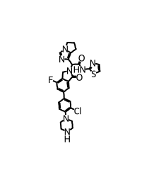 O=C(Nc1nccs1)C(c1ncn2c1CCC2)N1Cc2c(F)cc(-c3ccc(N4CCNCC4)c(Cl)c3)cc2C1=O